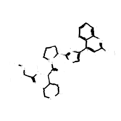 CN[C@@H](C)C(=O)N[C@H](C(=O)N1CCC[C@H]1c1nc(-c2cc(O)nc3ccccc23)cs1)C1CCOCC1